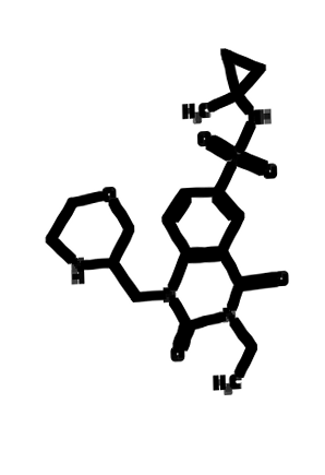 CCn1c(=O)c2cc(S(=O)(=O)NC3(C)CC3)ccc2n(CC2COCCN2)c1=O